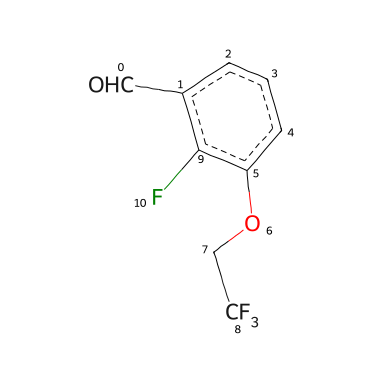 O=Cc1cccc(OCC(F)(F)F)c1F